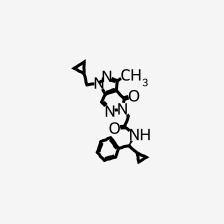 Cc1nn(CC2CC2)c2cnn(CC(=O)N[C@H](c3ccccc3)C3CC3)c(=O)c12